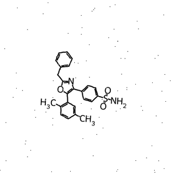 Cc1ccc(C)c(-c2oc(Cc3ccccc3)nc2-c2ccc(S(N)(=O)=O)cc2)c1